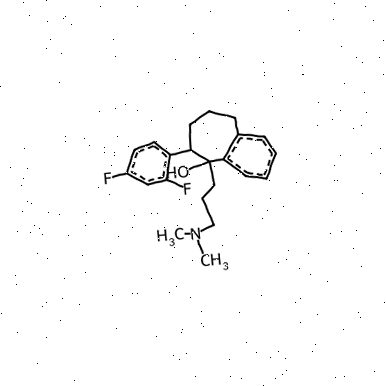 CN(C)CCCC1(O)c2ccccc2CCCC1c1ccc(F)cc1F